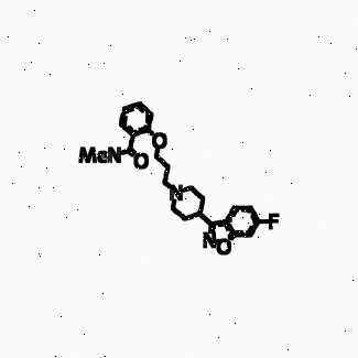 CNC(=O)c1ccccc1OCCCN1CCC(c2noc3cc(F)ccc23)CC1